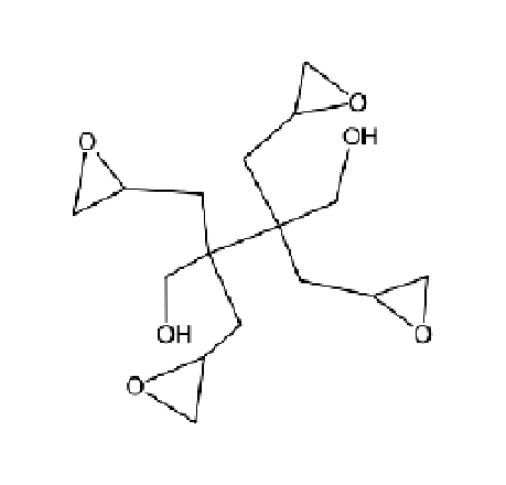 OCC(CC1CO1)(CC1CO1)C(CO)(CC1CO1)CC1CO1